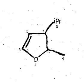 CC(C)C1C=COC1C